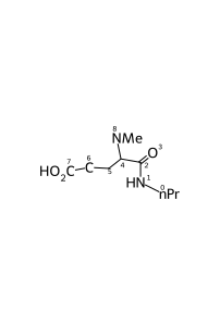 CCCNC(=O)C(CCC(=O)O)NC